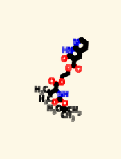 CC(C)C(NC(=O)OC(C)(C)C)C(=O)OCCOC(=O)c1cc2cccnc2[nH]c1=O